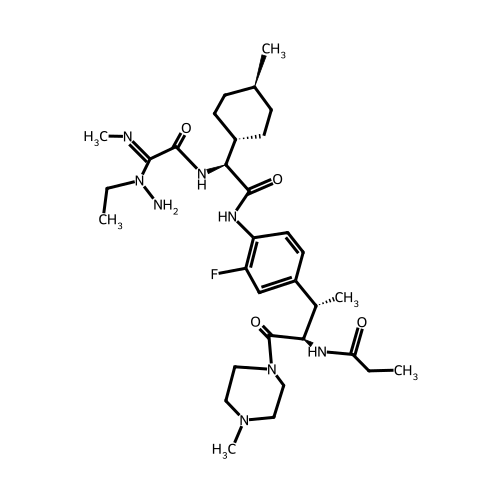 CCC(=O)N[C@@H](C(=O)N1CCN(C)CC1)[C@@H](C)c1ccc(NC(=O)[C@@H](NC(=O)/C(=N/C)N(N)CC)[C@H]2CC[C@H](C)CC2)c(F)c1